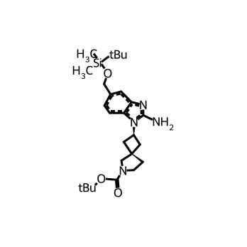 CC(C)(C)OC(=O)N1CC[C@]2(C1)C[C@H](n1c(N)nc3cc(CO[Si](C)(C)C(C)(C)C)ccc31)C2